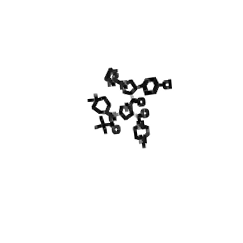 CN1CCN(C(=O)[C@@H]2C[C@H](N(C(=O)C(C)(C)C)C3CCC(C)(C)CC3)CN2C(=O)[C@@H]2CN(c3nccs3)C[C@H]2c2ccc(Cl)cc2)CC1